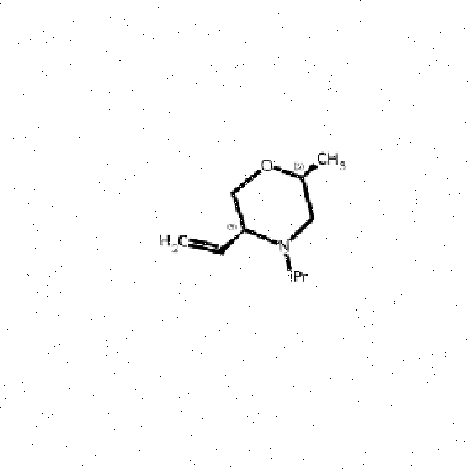 C=C[C@H]1CO[C@@H](C)CN1C(C)C